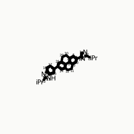 CC(C)c1ncc(-c2cc3c4c(c2)CCc2cc(-c5ccc6nc(C(C)C)[nH]c6c5)cc(c2-4)CC3)[nH]1